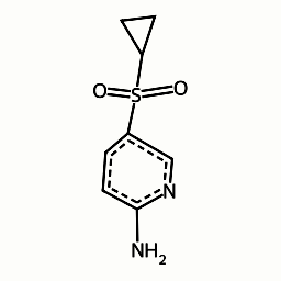 Nc1ccc(S(=O)(=O)C2CC2)cn1